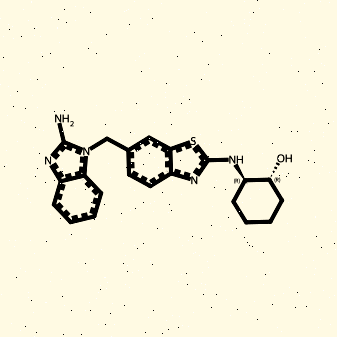 Nc1nc2ccccc2n1Cc1ccc2nc(N[C@@H]3CCCC[C@H]3O)sc2c1